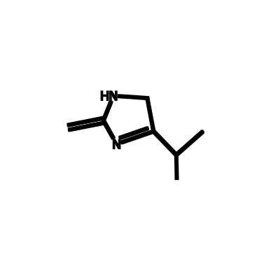 C=C1N=C(C(C)C)CN1